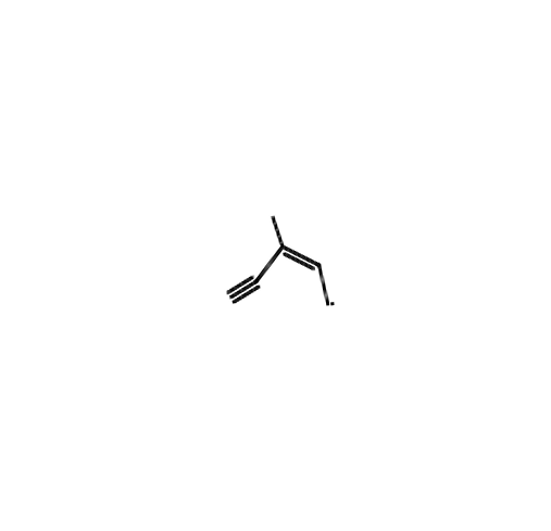 C#C/C(C)=C\[CH2]